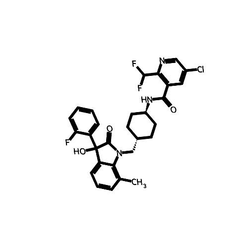 Cc1cccc2c1N(C[C@H]1CC[C@H](NC(=O)c3cc(Cl)cnc3C(F)F)CC1)C(=O)C2(O)c1ccccc1F